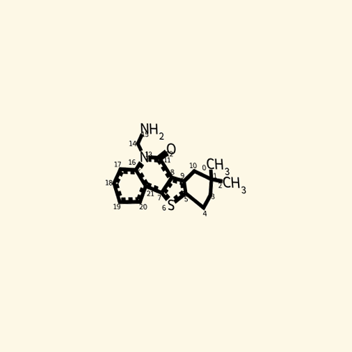 CC1(C)CCc2sc3c(c2C1)c(=O)n(CN)c1ccccc31